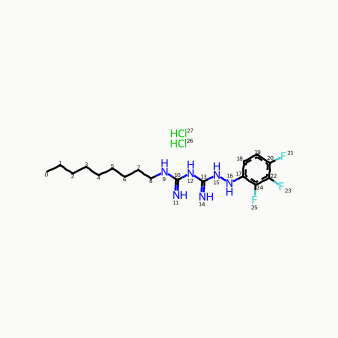 CCCCCCCCCNC(=N)NC(=N)NNc1ccc(F)c(F)c1F.Cl.Cl